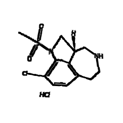 CS(=O)(=O)N1C[C@@H]2CNCCc3ccc(Cl)c1c32.Cl